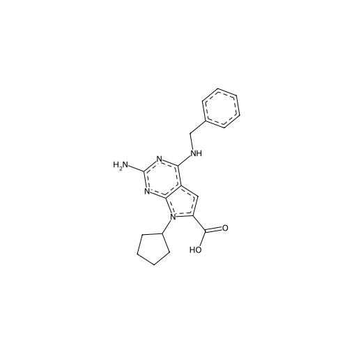 Nc1nc(NCc2ccccc2)c2cc(C(=O)O)n(C3CCCC3)c2n1